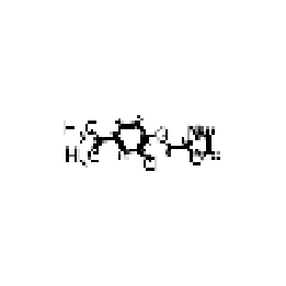 CC(C)c1ccc(OCc2ncco2)c(Cl)c1